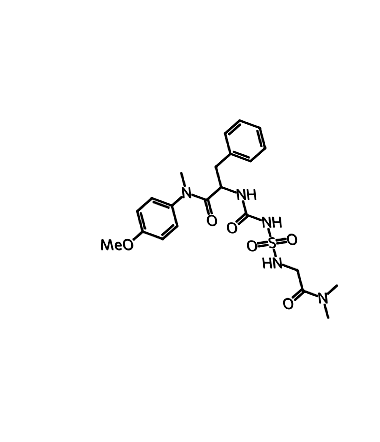 COc1ccc(N(C)C(=O)C(Cc2ccccc2)NC(=O)NS(=O)(=O)NCC(=O)N(C)C)cc1